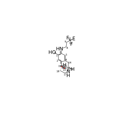 Oc1cc2c(cc1NCCC(F)(F)F)C[C@@H]1NCC[C@]23CCCC[C@H]13